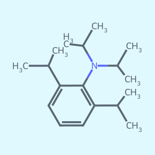 CC(C)c1cccc(C(C)C)c1N(C(C)C)C(C)C